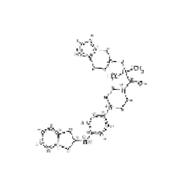 CC(C)(CN1CCc2[nH]nnc2C1)C(=O)N1CCN(c2cnc(NC3Cc4ccccc4C3)nc2)CC1